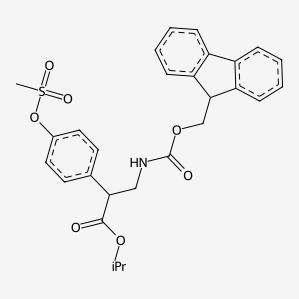 CC(C)OC(=O)C(CNC(=O)OCC1c2ccccc2-c2ccccc21)c1ccc(OS(C)(=O)=O)cc1